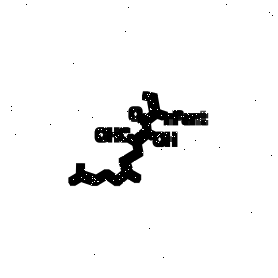 C/C=C(/CCCCC)C(=O)/C(O)=C(\C=O)C/C=C(\C)CCC=C(C)C